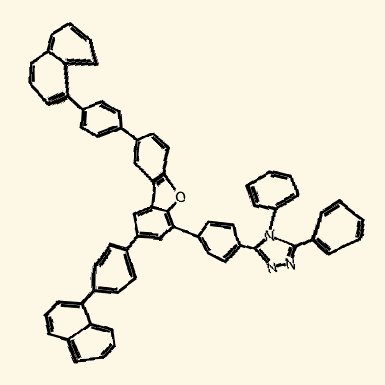 c1ccc(-c2nnc(-c3ccc(-c4cc(-c5ccc(-c6cccc7ccccc67)cc5)cc5c4oc4ccc(-c6ccc(-c7cccc8ccccc78)cc6)cc45)cc3)n2-c2ccccc2)cc1